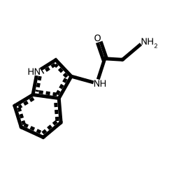 NCC(=O)Nc1c[nH]c2ccccc12